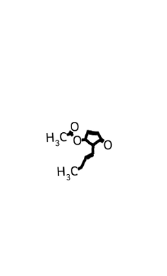 CCC=CC1C(=O)C=CC1OC(C)=O